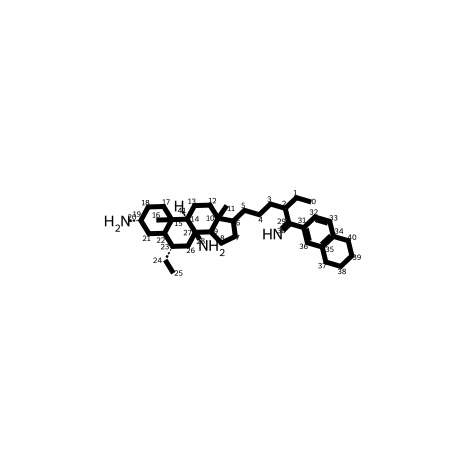 CCC(CCCC1CCC2C1(C)CC[C@@H]1C3(C)CC[C@@H](N)CC3[C@@H](CC)CC21N)C(=N)c1ccc2c(c1)CCCC2